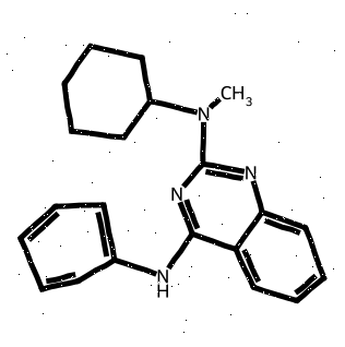 CN(c1nc(Nc2ccccc2)c2ccccc2n1)C1CCCCC1